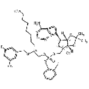 CCCCCCCCCCCCCCCCC[C@H](COP(=O)(OC[C@@]1(C#N)O[C@@H](c2ccc3c(N)ncnn23)[C@@H]2OC(C)(C)O[C@@H]21)Oc1ccccc1Cl)OCc1cc(F)cc(C#N)c1